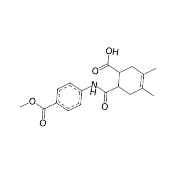 COC(=O)c1ccc(NC(=O)C2CC(C)=C(C)CC2C(=O)O)cc1